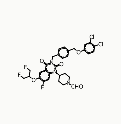 O=CN1CCC(n2c(=O)n(Cc3ccc(COc4ccc(Cl)c(Cl)c4)cc3)c(=O)c3cc(OC(CF)CF)c(F)cc32)CC1